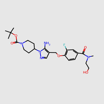 CN(CCO)C(=O)c1ccc(OCc2cnn(C3CCN(C(=O)OC(C)(C)C)CC3)c2N)c(F)c1